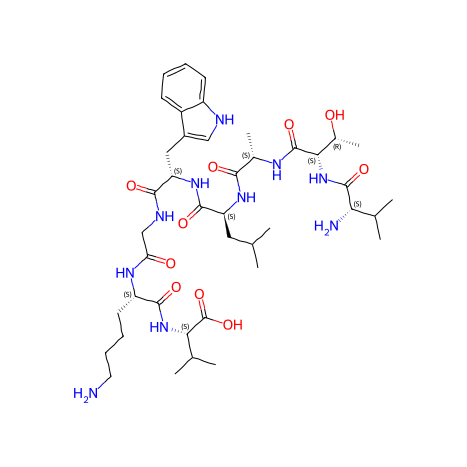 CC(C)C[C@H](NC(=O)[C@H](C)NC(=O)[C@@H](NC(=O)[C@@H](N)C(C)C)[C@@H](C)O)C(=O)N[C@@H](Cc1c[nH]c2ccccc12)C(=O)NCC(=O)N[C@@H](CCCCN)C(=O)N[C@H](C(=O)O)C(C)C